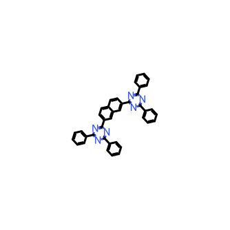 c1ccc(-c2nc(-c3ccccc3)nc(-c3ccc4ccc(-c5nc(-c6ccccc6)nc(-c6ccccc6)n5)cc4c3)n2)cc1